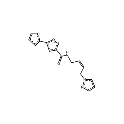 O=C(NC/C=C\Cn1cccn1)c1cc(-c2ccco2)on1